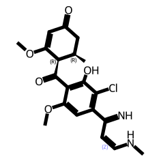 CN/C=C\C(=N)c1cc(OC)c(C(=O)[C@H]2C(OC)=CC(=O)C[C@H]2C)c(O)c1Cl